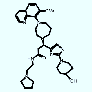 COc1ccc2cccnc2c1N1CCCN(C(CC(=O)NCCN2CCCC2)c2csc(N3CCC(O)CC3)n2)CC1